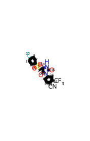 C[C@]1(CS(=O)(=O)c2ccc(F)cc2)NC(=O)N(c2ccc(C#N)c(C(F)(F)F)c2)C1=O